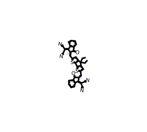 CCC1(CC)c2cc(/C=C3\C(=O)c4ccccc4C3=C(C#N)C#N)sc2-c2sc(/C=C3\C(=O)c4ccccc4C3=C(C#N)C#N)cc21